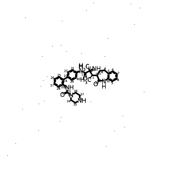 C[C@H](C1CCc2ccccc2NC1=O)C(C)(N)C(=O)Nc1ccc(-c2ccccc2NC(=O)N2CCNCC2)cc1